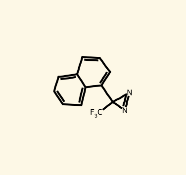 FC(F)(F)C1(c2cccc3ccccc23)N=N1